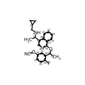 CC(NCC1CC1)c1cnc(OC(C)c2cc(OC#N)ccc2F)c2ccccc12